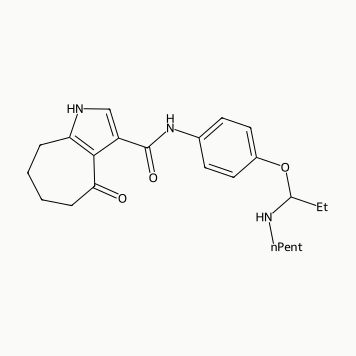 CCCCCNC(CC)Oc1ccc(NC(=O)c2c[nH]c3c2C(=O)CCCC3)cc1